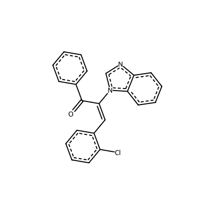 O=C(/C(=C\c1ccccc1Cl)n1cnc2ccccc21)c1ccccc1